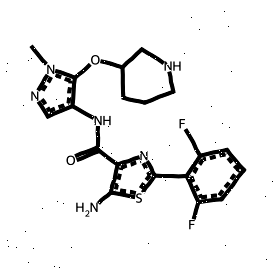 Cn1ncc(NC(=O)c2nc(-c3c(F)cccc3F)sc2N)c1OC1CCCNC1